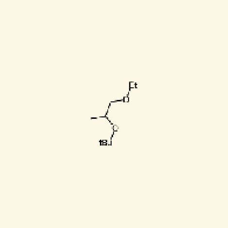 CCOCC(C)OC(C)(C)C